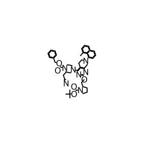 Cc1cccc2cccc(N3CCc4c(nc(OCC5CCCN5C(=O)OC(C)(C)C)nc4N4CCN(C(=O)OCc5ccccc5)C(CC#N)C4)C3)c12